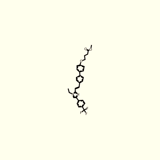 CCn1cc(-c2ccc(C(F)(F)F)cc2)nc1/C=C/c1ccc(-c2ccc(OCCCC(=O)OC)cc2)cc1